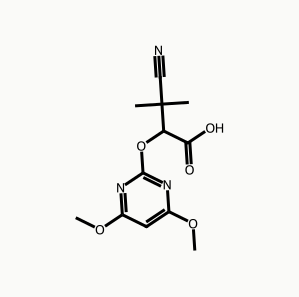 COc1cc(OC)nc(OC(C(=O)O)C(C)(C)C#N)n1